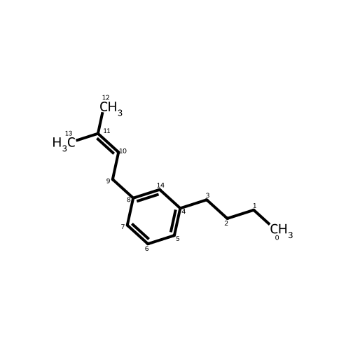 CCCCc1cccc(CC=C(C)C)c1